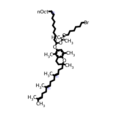 CCCCCCCC/C=C\CCCCCCCC(Oc1cc(C)c2c(c1C)CCC(C)(CC/C=C(\C)CC/C=C(\C)CCC=C(C)C)O2)O[Si](C)(C)OCCCCCCBr